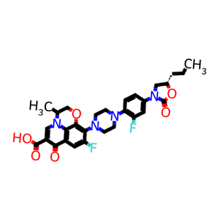 CCC[C@H]1CN(c2ccc(N3CCN(c4c(F)cc5c(=O)c(C(=O)O)cn6c5c4OCC6C)CC3)c(F)c2)C(=O)O1